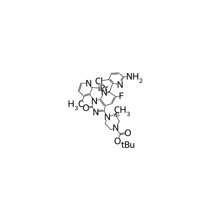 Cc1ccnc(C(C)C)c1-n1c(=O)nc(N2CCN(C(=O)OC(C)(C)C)C[C@@H]2C)c2cc(F)c(-c3nc(N)ccc3Cl)nc21